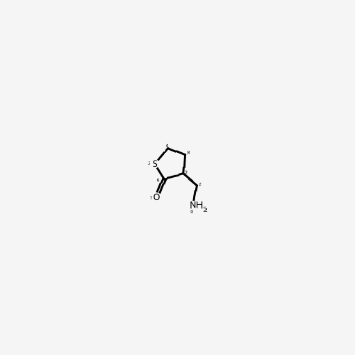 NCC1CCSC1=O